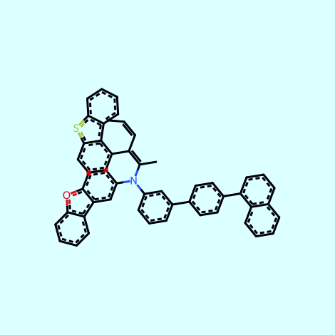 C/C=C\C(=C(/C)N(c1cccc(-c2ccc(-c3cccc4ccccc34)cc2)c1)c1ccc2oc3ccccc3c2c1)c1cccc2sc3ccccc3c12